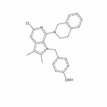 COc1ccc(Cn2c(C)c(C)c3cc(Cl)nc(N4CCc5ccccc5C4)c32)cc1